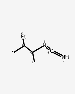 CCC(C)C(C)N=C=N